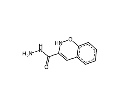 NNC(=O)C1=Cc2ccccc2ON1